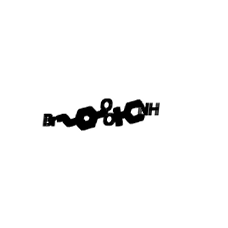 CC(C)(OC(=O)c1ccc(CCBr)cc1)C1CCNCC1